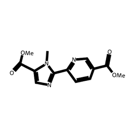 COC(=O)c1ccc(-c2ncc(C(=O)OC)n2C)nc1